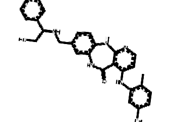 Cc1ccc(O)cc1Nc1ccnc2c1C(=O)Nc1cc(CNC(CO)c3ccccc3)ccc1N2